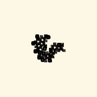 CC[C@@]1(OC(=O)[C@@H]2ON=C3c4cc(N=O)cc(N=O)c4-c4c(N=O)cc(N=O)c2c43)C(=O)OCc2c1cc1n(c2=O)Cc2cc3c(CN(C)C)c(O)ccc3nc2-1